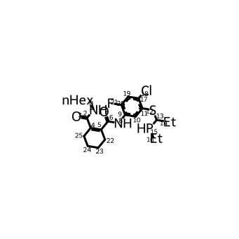 CCCCCCNC(=O)C1=C(C(=O)Nc2cc(SC(CC)PCC)c(Cl)cc2F)CCCC1